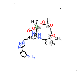 CC[C@H]1OC(=O)[C@H](C)C(=O)CC[C@](C)(OC)C[C@@H](C)CN[C@H](C)[C@H]2N(CCCCn3cc(-c4cccc(N)c4)nn3)C(=O)O[C@]12Cl